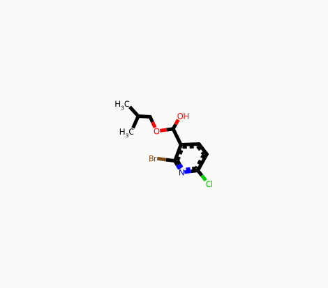 CC(C)COC(O)c1ccc(Cl)nc1Br